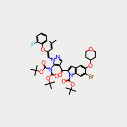 CC(C)=C/C(=C\n1ncc(C(=O)c2cc3cc(OC4CCOCC4)c(Br)cc3n2C(=O)OC(C)(C)C)c1N(C(=O)OC(C)(C)C)C(=O)OC(C)(C)C)Oc1ccccc1F